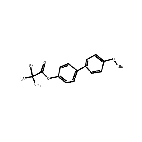 CCC(C)(C)C(=O)Oc1ccc(-c2ccc(OC(C)(C)C)cc2)cc1